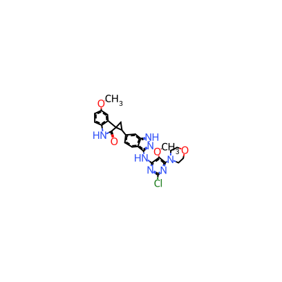 COc1ccc2c(c1)C1(CC1c1ccc3c(Nc4nc(Cl)nc(N5CCOCC5)c4OC)n[nH]c3c1)C(=O)N2